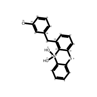 O[N+]1(O)c2ccccc2Sc2cccc(Cc3cccc(Cl)c3)c21